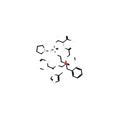 CC(=O)N1CCC[C@H]1C(=O)N[C@@H](CC(C)C)C(=O)N[C@@H](Cc1cnc[nH]1)C(=O)N[C@@H](CO)C(=O)N[C@H](C(N)=O)[C@@H](C)OP(=O)(O)OCCCCc1ccccc1